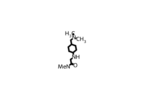 CNC(=O)CNC1CCC(CN(C)C)CC1